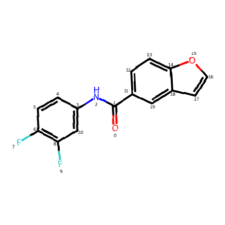 O=C(Nc1ccc(F)c(F)c1)c1ccc2occc2c1